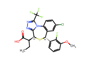 CCC(C(=O)O)[C@@H]1S[C@@H](c2cccc(OC)c2F)c2cc(Cl)ccc2-n2c1nnc2C(F)(F)F